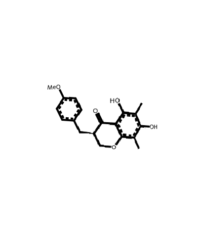 COc1ccc(C[C@@H]2COc3c(C)c(O)c(C)c(O)c3C2=O)cc1